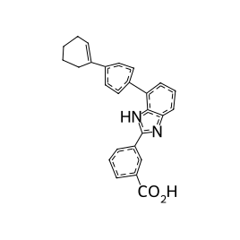 O=C(O)c1cccc(-c2nc3cccc(-c4ccc(C5=CCCCC5)cc4)c3[nH]2)c1